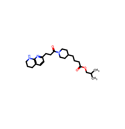 CC(C)COC(=O)CCCC1CCN(C(=O)CCc2ccc3c(n2)NCCC3)CC1